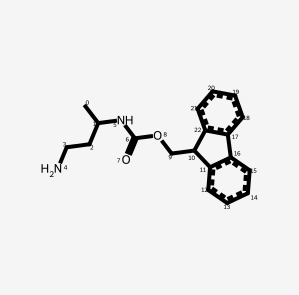 CC(CCN)NC(=O)OCC1c2ccccc2-c2ccccc21